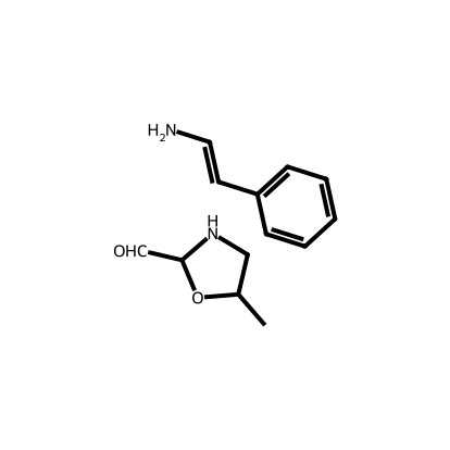 CC1CNC(C=O)O1.NC=Cc1ccccc1